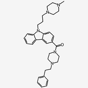 CN1CCN(CCCn2c3ccccc3c3cc(C(=O)N4CCN(CCc5ccccc5)CC4)ccc32)CC1